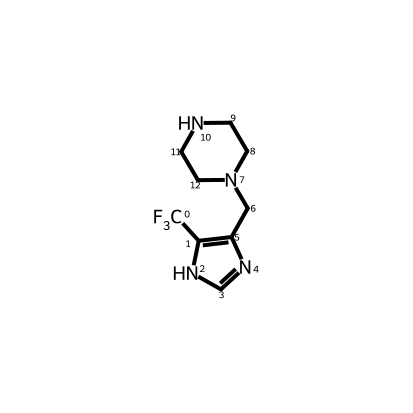 FC(F)(F)c1[nH]cnc1CN1CCNCC1